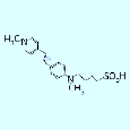 CN1C=CC(/C=C/c2ccc(N(C)CCCCS(=O)(=O)O)cc2)=CC1